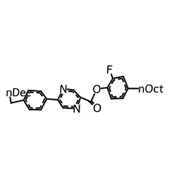 CCCCCCCCCCCc1ccc(-c2cnc(C(=O)Oc3ccc(CCCCCCCC)cc3F)cn2)cc1